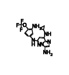 Nc1cc(Nc2cc(NC3CC3)c3ncc(N)n3n2)ccc1OC(F)(F)F